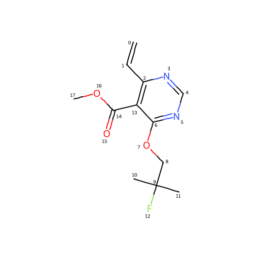 C=Cc1ncnc(OCC(C)(C)F)c1C(=O)OC